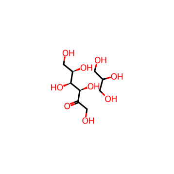 O=C(CO)[C@H](O)[C@@H](O)[C@H](O)CO.OCC(O)CO